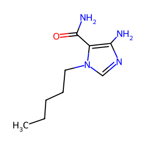 CCCCCn1cnc(N)c1C(N)=O